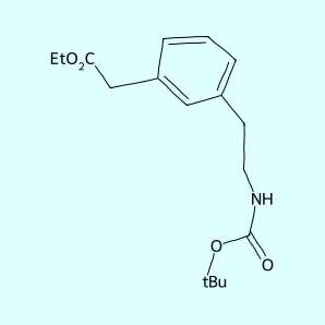 CCOC(=O)Cc1cccc(CCNC(=O)OC(C)(C)C)c1